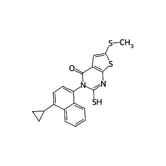 CSc1cc2c(=O)n(-c3ccc(C4CC4)c4ccccc34)c(S)nc2s1